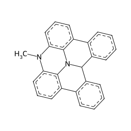 CN1c2cccc3c2N2c4c(cccc41)-c1ccccc1C2c1ccccc1-3